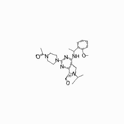 COc1ccccc1C(C)Nc1nc(N2CCN(C(C)=O)CC2)nc2c1CN(C(C)C)[C@H]2C=O